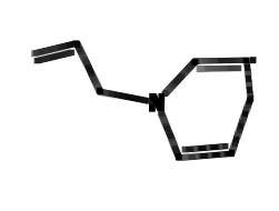 C=CCN1C=[C]CC=C1